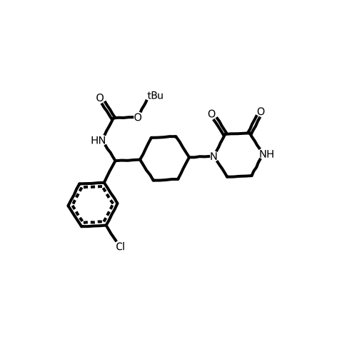 CC(C)(C)OC(=O)NC(c1cccc(Cl)c1)C1CCC(N2CCNC(=O)C2=O)CC1